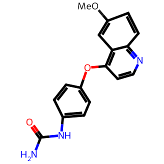 COc1ccc2nccc(Oc3ccc(NC(N)=O)cc3)c2c1